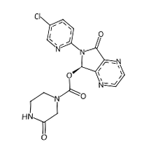 O=C1CN(C(=O)O[C@@H]2c3nccnc3C(=O)N2c2ccc(Cl)cn2)CCN1